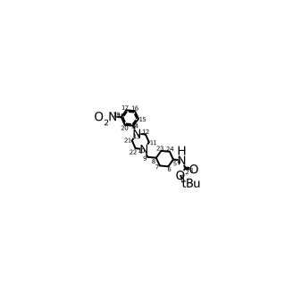 CC(C)(C)OC(=O)NC1CCC(CN2CCN(c3cccc([N+](=O)[O-])c3)CC2)CC1